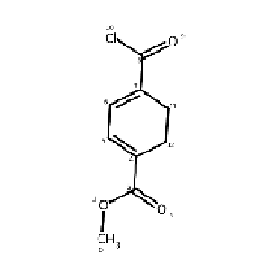 COC(=O)C1=CC=C(C(=O)Cl)CC1